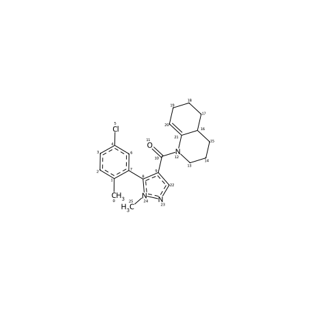 Cc1ccc(Cl)cc1-c1c(C(=O)N2CCCC3CCCC=C32)cnn1C